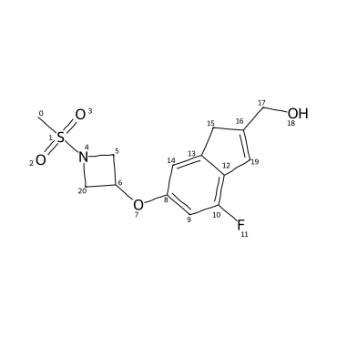 CS(=O)(=O)N1CC(Oc2cc(F)c3c(c2)CC(CO)=C3)C1